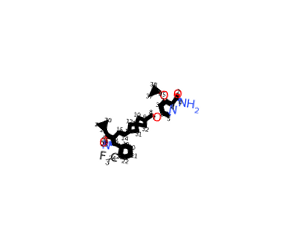 NC(=O)c1ncc(OCC2CC3(CC(/C=C/c4c(-c5ccccc5C(F)(F)F)noc4C4CC4)C3)C2)cc1OC1CC1